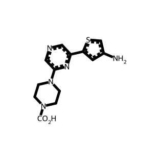 Nc1csc(-c2cncc(N3CCN(C(=O)O)CC3)n2)c1